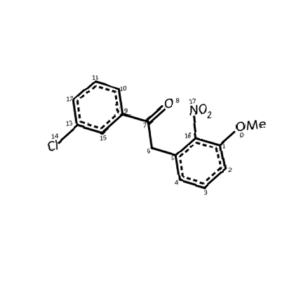 COc1cccc(CC(=O)c2cccc(Cl)c2)c1[N+](=O)[O-]